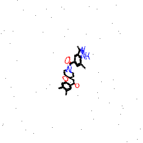 Cc1cc2c(cc1C)C(=O)CC1(CCN(C(=O)c3cc(C)c4[nH]nc(C)c4c3)CC1)O2